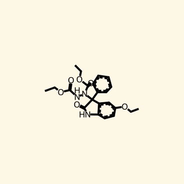 CCOC(=O)NN(C(=O)OCC)C1(c2ccccc2)C(=O)Nc2ccc(OCC)cc21